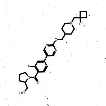 O=C(c1ccc(-c2cnc(OCC3CCN(CC4(C(F)(F)F)CCC4)CC3)nc2)cc1F)N1CCCC1CO